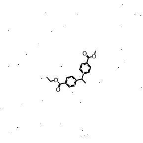 CCOC(=O)c1ccc(C(C)c2ccc(C(=O)OC)cc2)cc1